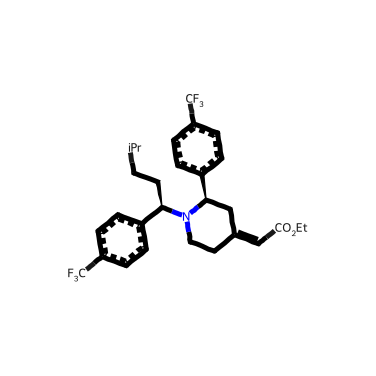 CCOC(=O)/C=C1/CCN([C@H](CCC(C)C)c2ccc(C(F)(F)F)cc2)[C@@H](c2ccc(C(F)(F)F)cc2)C1